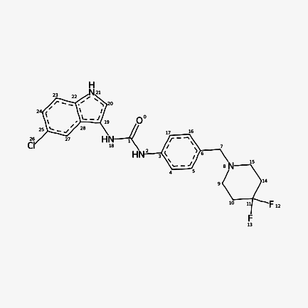 O=C(Nc1ccc(CN2CCC(F)(F)CC2)cc1)Nc1c[nH]c2ccc(Cl)cc12